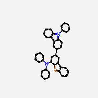 c1ccc(N(c2ccccc2)c2cc(-c3ccc4c(c3)c3ccccc3n4-c3ccccc3)cc3c2sc2ccccc23)cc1